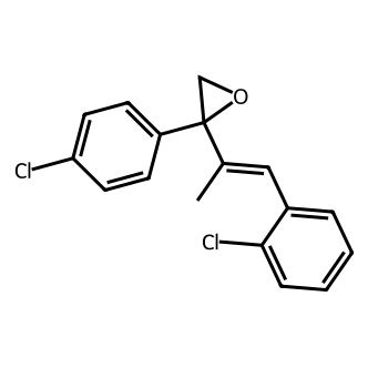 CC(=Cc1ccccc1Cl)C1(c2ccc(Cl)cc2)CO1